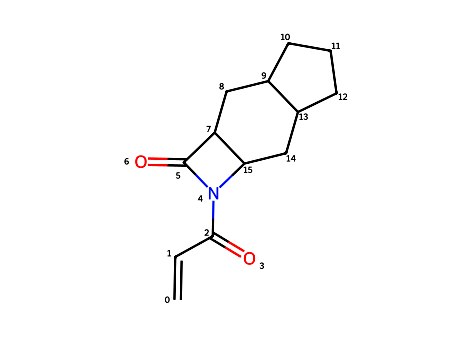 C=CC(=O)N1C(=O)C2CC3CCCC3CC21